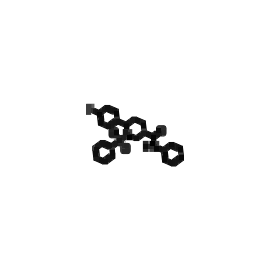 O=C(Nc1ccccc1)C1CCC(c2ccc(F)cc2)N(S(=O)(=O)c2ccccc2)C1